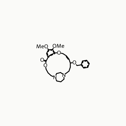 COc1cc2cc(c1OC)OC/C=C\C(OCc1ccccc1)CCN1CCCN(CCCOC2=O)CC1